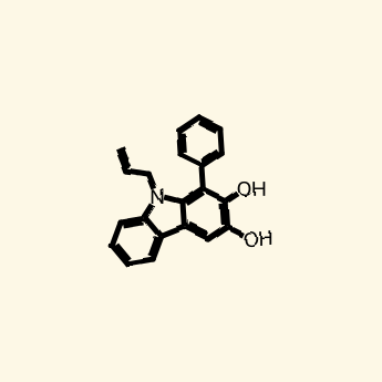 C=CCn1c2ccccc2c2cc(O)c(O)c(-c3ccccc3)c21